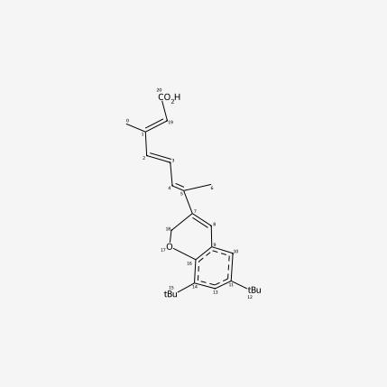 CC(C=CC=C(C)C1=Cc2cc(C(C)(C)C)cc(C(C)(C)C)c2OC1)=CC(=O)O